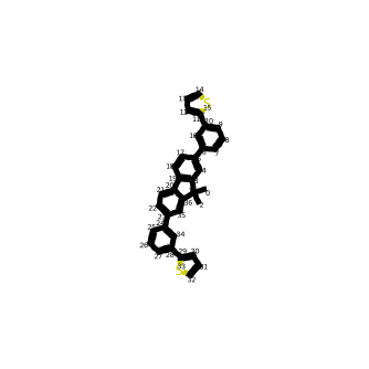 CC1(C)c2cc(-c3cccc(-c4cccs4)c3)ccc2-c2ccc(-c3cccc(-c4cccs4)c3)cc21